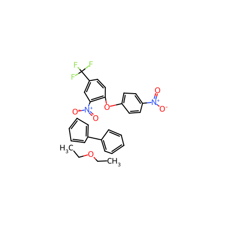 CCOCC.O=[N+]([O-])c1ccc(Oc2ccc(C(F)(F)F)cc2[N+](=O)[O-])cc1.c1ccc(-c2ccccc2)cc1